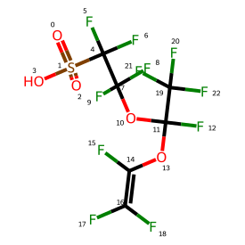 O=S(=O)(O)C(F)(F)C(F)(F)OC(F)(OC(F)=C(F)F)C(F)(F)F